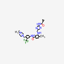 Cc1ccc(C(=O)Nc2ccc(CN3CCN(C)CC3)c(C(F)(F)F)c2)cc1NCc1cnc(NC(=O)C2CC2)cn1